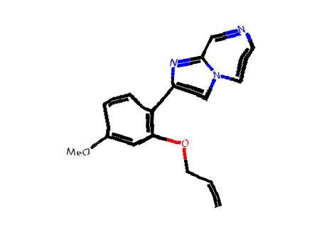 C=CCOc1cc(OC)ccc1-c1cn2ccncc2n1